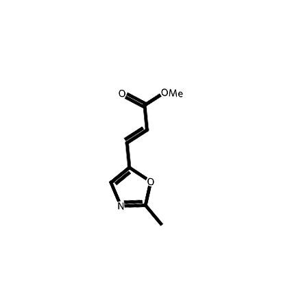 COC(=O)/C=C/c1cnc(C)o1